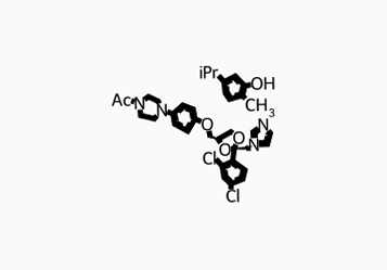 CC(=O)N1CCN(c2ccc(OC[C@H]3CO[C@](Cn4ccnc4)(c4ccc(Cl)cc4Cl)O3)cc2)CC1.Cc1ccc(C(C)C)cc1O